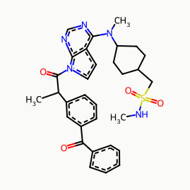 CNS(=O)(=O)CC1CCC(N(C)c2ncnc3c2ccn3C(=O)C(C)c2cccc(C(=O)c3ccccc3)c2)CC1